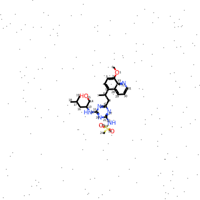 COc1ccc(C(C)Cc2nc(NC(CO)CC(C)C)nc(NS(C)(=O)=O)n2)c2cccnc12